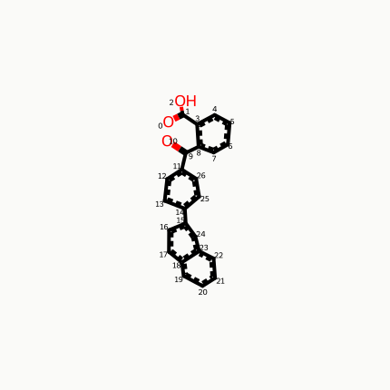 O=C(O)c1ccccc1C(=O)c1ccc(-c2ccc3ccccc3c2)cc1